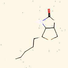 O=C(O)CCCC[C@@H]1SC[C@@H]2[InH][C](=O)N[C@H]12